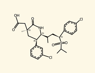 CC(C[C@@H](c1ccc(Cl)cc1)S(=O)(=O)C(C)C)[C@@H]1NC(=O)[C@](C)(CC(=O)O)C[C@@H]1c1cccc(Cl)c1